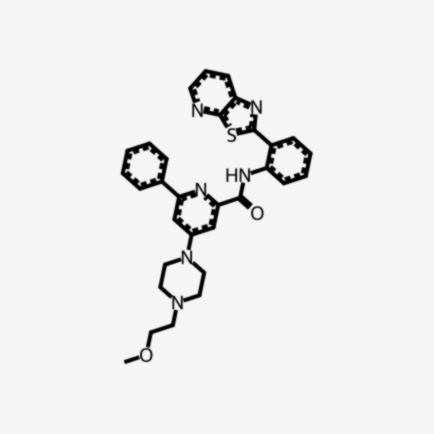 COCCN1CCN(c2cc(C(=O)Nc3ccccc3-c3nc4cccnc4s3)nc(-c3ccccc3)c2)CC1